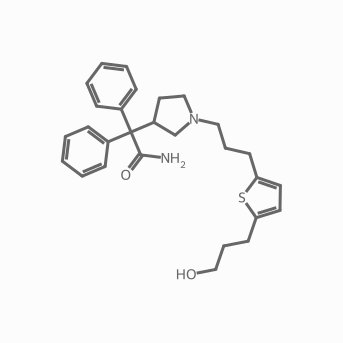 NC(=O)C(c1ccccc1)(c1ccccc1)C1CCN(CCCc2ccc(CCCO)s2)C1